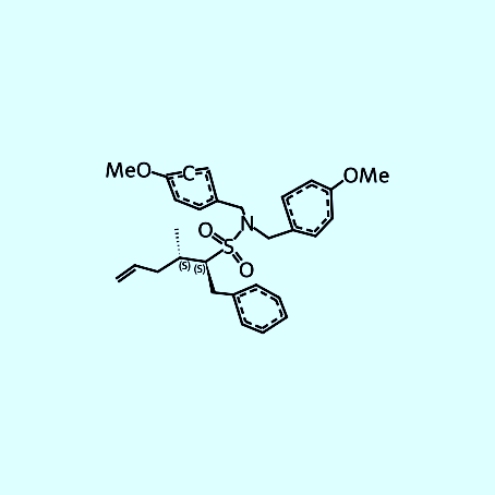 C=CC[C@H](C)[C@H](Cc1ccccc1)S(=O)(=O)N(Cc1ccc(OC)cc1)Cc1ccc(OC)cc1